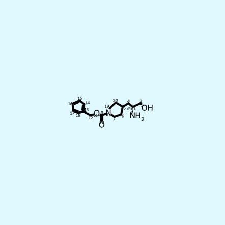 N[C@@H](CO)CC1CCN(C(=O)OCc2ccccc2)CC1